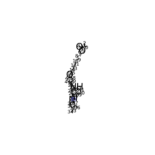 C=C(C)C(=O)OCCCCCCCCCCOC1=CC=C(CNc2ccc(/N=N/c3ccc(CC)c(C)c3)c3ccccc23)CC1